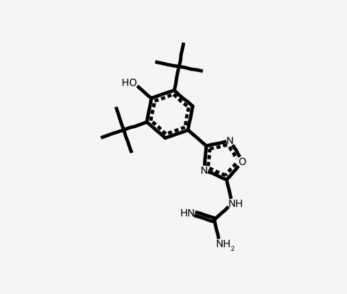 CC(C)(C)c1cc(-c2noc(NC(=N)N)n2)cc(C(C)(C)C)c1O